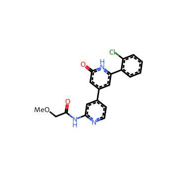 COCC(=O)Nc1cc(-c2cc(-c3ccccc3Cl)[nH]c(=O)c2)ccn1